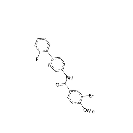 COc1ccc(C(=O)Nc2ccc(-c3ccccc3F)nc2)cc1Br